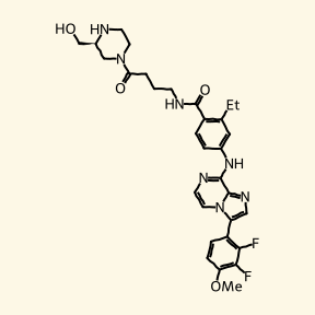 CCc1cc(Nc2nccn3c(-c4ccc(OC)c(F)c4F)cnc23)ccc1C(=O)NCCCC(=O)N1CCN[C@H](CO)C1